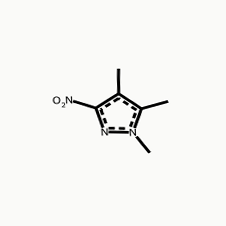 Cc1c([N+](=O)[O-])nn(C)c1C